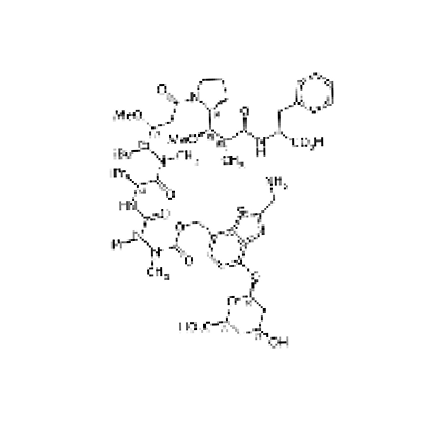 CCC(C)[C@@H]([C@@H](CC(=O)N1CCC[C@H]1[C@H](OC)[C@@H](C)C(=O)NC(Cc1ccccc1)C(=O)O)OC)N(C)C(=O)[C@@H](NC(=O)[C@H](C(C)C)N(C)C(=O)OCc1ccc(O[C@H]2C[C@@H](O)C[C@@H](C(=O)O)O2)c2cc(CN)sc12)C(C)C